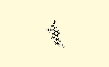 CN1CCN(C(=O)c2cccc([C@@H](N)CCC#N)c2)CC1